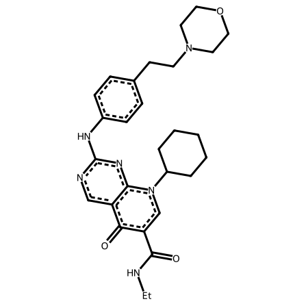 CCNC(=O)c1cn(C2CCCCC2)c2nc(Nc3ccc(CCN4CCOCC4)cc3)ncc2c1=O